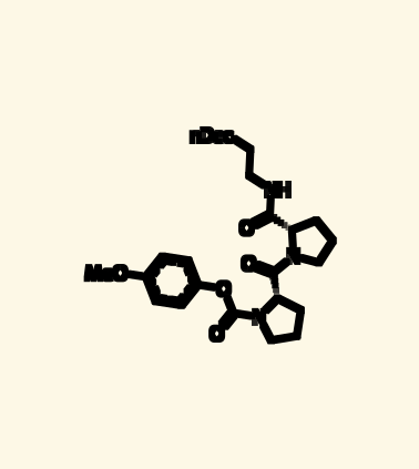 CCCCCCCCCCCCNC(=O)[C@@H]1CCCN1C(=O)[C@@H]1CCCN1C(=O)Oc1ccc(OC)cc1